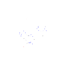 O=c1[nH]c([C@@H]2CC[C@H]2c2ncccn2)nc2c1cnn2C1CCOCC1